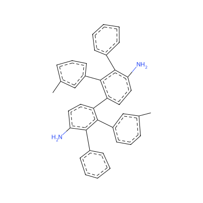 Cc1cccc(-c2c(-c3ccc(N)c(-c4ccccc4)c3-c3cccc(C)c3)ccc(N)c2-c2ccccc2)c1